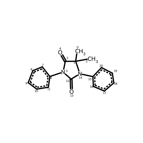 CC1(C)C(=O)N(c2ccccc2)C(=O)N1c1ccccc1